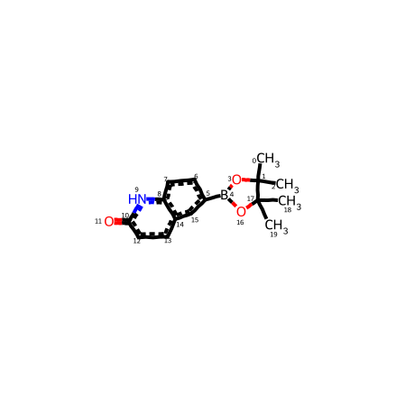 CC1(C)OB(c2ccc3[nH]c(=O)ccc3c2)OC1(C)C